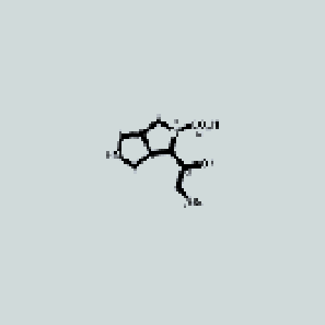 CC(C)(C)CC(=O)C1C2CNCC2CN1C(=O)O